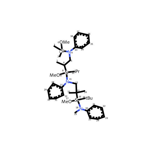 CO[Si](C)(C)N(CC(C)[Si](OC)(C(C)C)N(CC(C)(C)[Si](OC)(N(C)c1ccccc1)C(C)(C)C)c1ccccc1)c1ccccc1